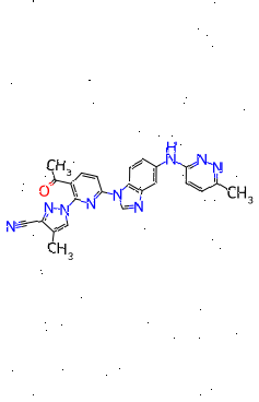 CC(=O)c1ccc(-n2cnc3cc(Nc4ccc(C)nn4)ccc32)nc1-n1cc(C)c(C#N)n1